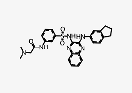 CN(C)CC(=O)Nc1cccc(S(=O)(=O)Nc2nc3ccccc3nc2Nc2ccc3c(c2)CCC3)c1